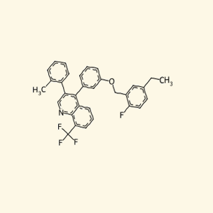 CCc1ccc(F)c(COc2cccc(-c3c(-c4ccccc4C)cnc4c(C(F)(F)F)cccc34)c2)c1